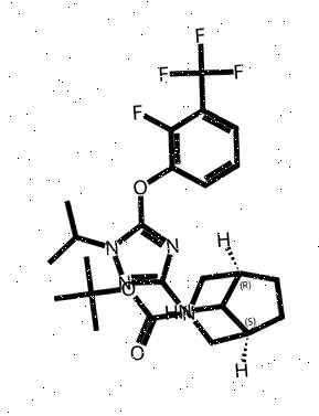 CC(C)n1nc(NC2[C@@H]3CC[C@H]2CN(C(=O)OC(C)(C)C)C3)nc1Oc1cccc(C(F)(F)F)c1F